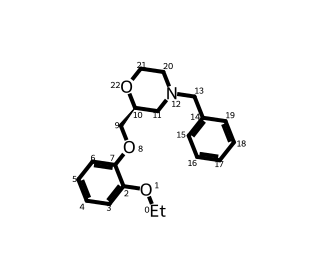 CCOc1ccccc1OC[C@@H]1CN(Cc2ccccc2)CCO1